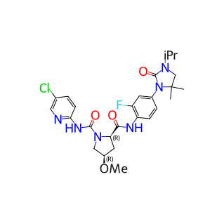 CO[C@@H]1C[C@H](C(=O)Nc2ccc(N3C(=O)N(C(C)C)CC3(C)C)cc2F)N(C(=O)Nc2ccc(Cl)cn2)C1